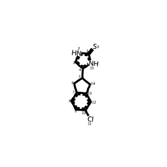 S=c1[nH]cc(C2Cc3ccc(Cl)cc3C2)[nH]1